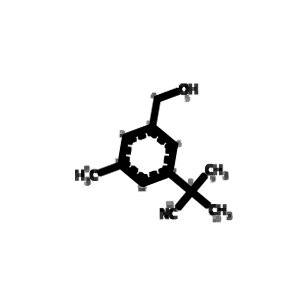 Cc1cc(CO)cc(C(C)(C)C#N)c1